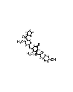 Cc1c(CN2CCN(C(=O)C3CCCC3)[C@@H](C)C2)cc(F)cc1NC(=O)C[C@H]1CC[C@@H](O)CC1